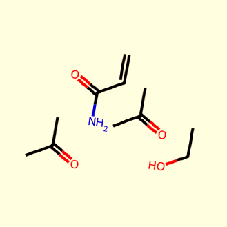 C=CC(N)=O.CC(C)=O.CC(C)=O.CCO